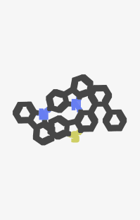 c1ccc(-c2ccccc2-c2ccc3sc4ccccc4c3c2-n2c3ccccc3c3ccc(-n4c5ccccc5c5ccccc54)cc32)cc1